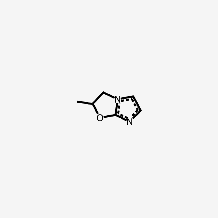 CC1Cn2ccnc2O1